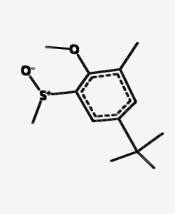 COc1c(C)cc(C(C)(C)C)cc1[S+](C)[O-]